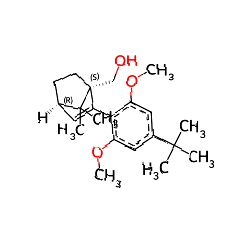 COc1cc(C(C)(C)C)cc(OC)c1C1=C[C@H]2CC[C@]1(CO)C2(C)C